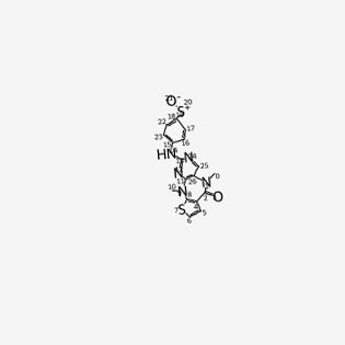 CN1C(=O)c2ccsc2N(C)c2nc(Nc3ccc([S+](C)[O-])cc3)ncc21